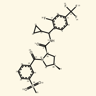 C[C@@H]1C[C@H](C(=O)NC(c2ccc(C(F)(F)F)cc2F)C2CC2)N(C(=O)c2cccc(S(C)(=O)=O)c2)C1